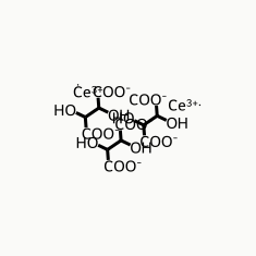 O=C([O-])C(O)C(O)C(=O)[O-].O=C([O-])C(O)C(O)C(=O)[O-].O=C([O-])C(O)C(O)C(=O)[O-].[Ce+3].[Ce+3]